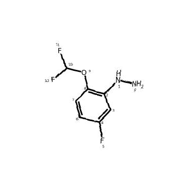 NNc1cc(F)ccc1OC(F)F